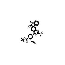 CN1C(=O)C2(CCc3c(nc([S+](C)[O-])nc3N3CCN(C(=O)OC(C)(C)C)[C@@H](CC#N)C3)C2)c2ccccc21